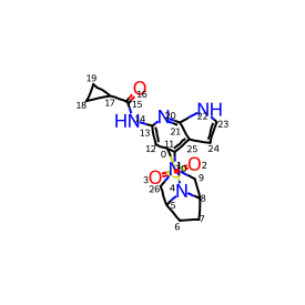 CS(=O)(=O)N1C2CCC1CN(c1cc(NC(=O)C3CC3)nc3[nH]ccc13)C2